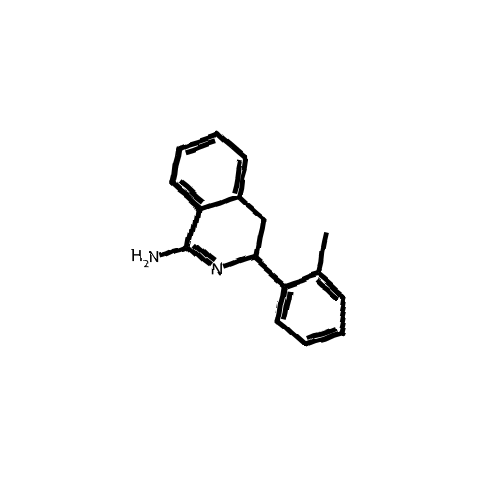 Cc1ccccc1C1Cc2ccccc2C(N)=N1